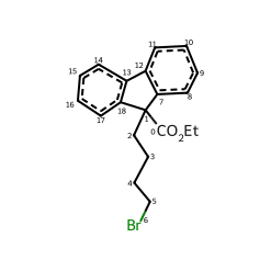 CCOC(=O)C1(CCCCBr)c2ccccc2-c2ccccc21